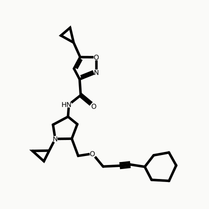 O=C(NC1CC(COCC#CC2CCCCC2)N(C2CC2)C1)c1cc(C2CC2)on1